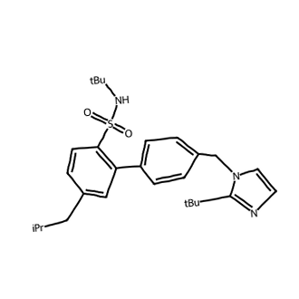 CC(C)Cc1ccc(S(=O)(=O)NC(C)(C)C)c(-c2ccc(Cn3ccnc3C(C)(C)C)cc2)c1